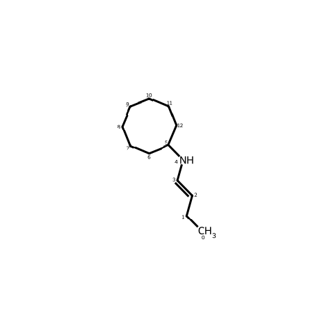 CCC=CNC1CCCCCCC1